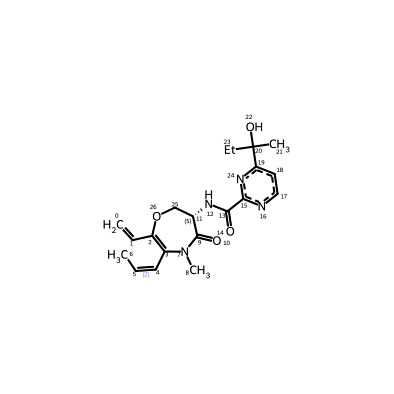 C=CC1=C(/C=C\C)N(C)C(=O)[C@@H](NC(=O)c2nccc(C(C)(O)CC)n2)CO1